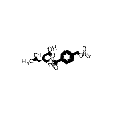 CC(C)C[C@H](CNC(=O)c1ccc(CO[N+](=O)[O-])cc1)CC(=O)O